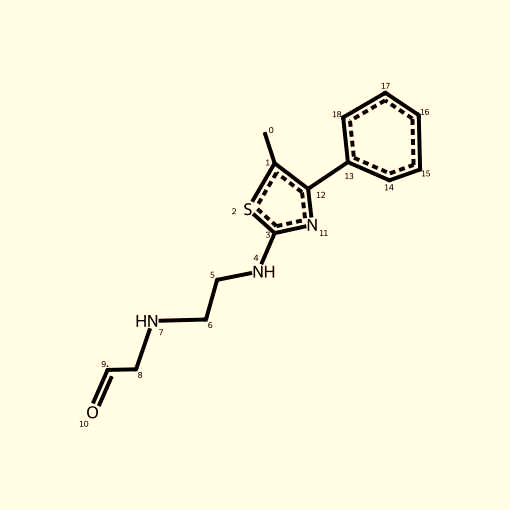 Cc1sc(NCCNC[C]=O)nc1-c1ccccc1